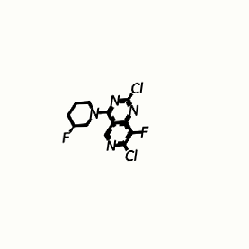 Fc1c(Cl)ncc2c(N3CCC[C@H](F)C3)nc(Cl)nc12